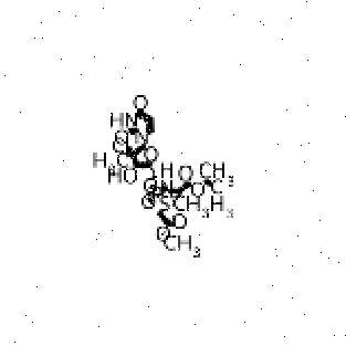 COC(=O)CSP(=O)(N[C@@H](C)C(=O)OC(C)C)OC[C@H]1O[C@@H](n2ccc(=O)[nH]c2=O)[C@](C)(Cl)[C@@H]1O